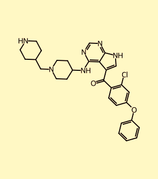 O=C(c1ccc(Oc2ccccc2)cc1Cl)c1c[nH]c2ncnc(NC3CCN(CC4CCNCC4)CC3)c12